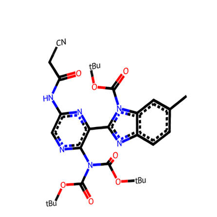 Cc1ccc2nc(-c3nc(NC(=O)CC#N)cnc3N(C(=O)OC(C)(C)C)C(=O)OC(C)(C)C)n(C(=O)OC(C)(C)C)c2c1